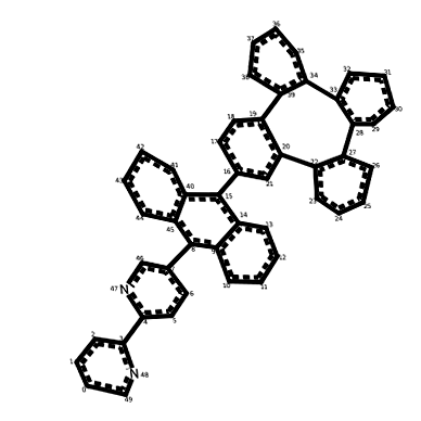 c1ccc(-c2ccc(-c3c4ccccc4c(-c4ccc5c(c4)-c4ccccc4-c4ccccc4-c4ccccc4-5)c4ccccc34)cn2)nc1